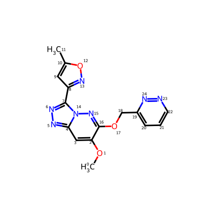 COc1cc2nnc(-c3cc(C)on3)n2nc1OCc1cccnn1